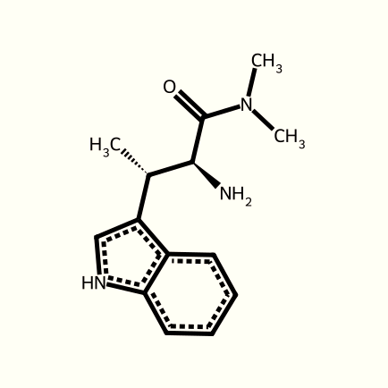 C[C@@H](c1c[nH]c2ccccc12)[C@H](N)C(=O)N(C)C